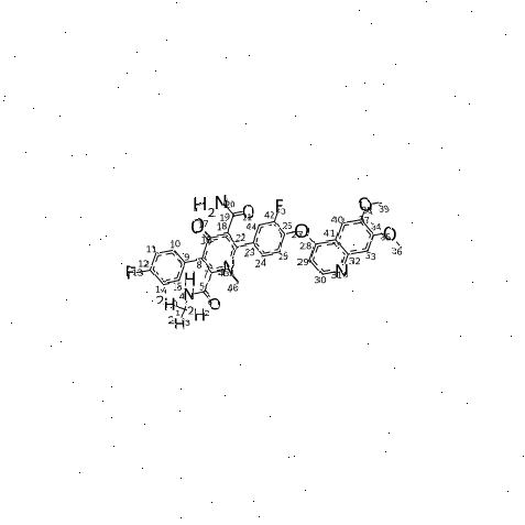 [2H]C([2H])([2H])NC(=O)c1c(-c2ccc(F)cc2)c(=O)c(C(N)=O)c(-c2ccc(Oc3ccnc4cc(OC)c(OC)cc34)c(F)c2)n1C